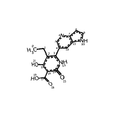 CCc1c(-c2cnc3cc[nH]c3c2)[nH]c(=O)c(C(=O)O)c1O